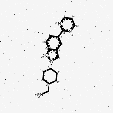 NC[C@H]1CC[C@H](n2cc3cc(-c4ncccn4)ccc3n2)CC1